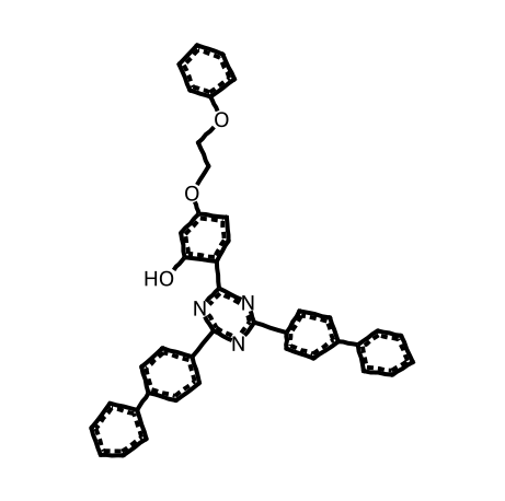 Oc1cc(OCCOc2ccccc2)ccc1-c1nc(-c2ccc(-c3ccccc3)cc2)nc(-c2ccc(-c3ccccc3)cc2)n1